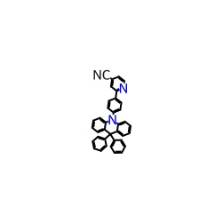 N#Cc1ccnc(-c2ccc(N3c4ccccc4C(c4ccccc4)(c4ccccc4)c4ccccc43)cc2)c1